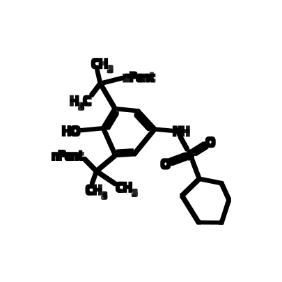 CCCCCC(C)(C)c1cc(NS(=O)(=O)C2CCCCC2)cc(C(C)(C)CCCCC)c1O